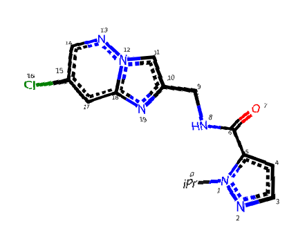 CC(C)n1nccc1C(=O)NCc1cn2ncc(Cl)cc2n1